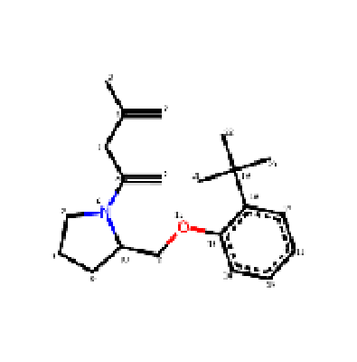 C=C(C)CC(=C)N1CCCC1COc1ccccc1C(C)(C)C